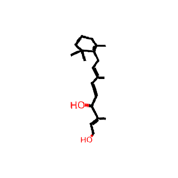 CC1=C(C/C=C(C)/C=C/C(O)/C(C)=C/CO)C(C)(C)CCC1